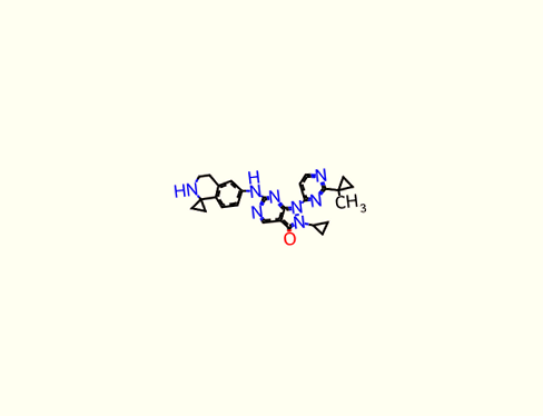 CC1(c2nccc(-n3c4nc(Nc5ccc6c(c5)CCNC65CC5)ncc4c(=O)n3C3CC3)n2)CC1